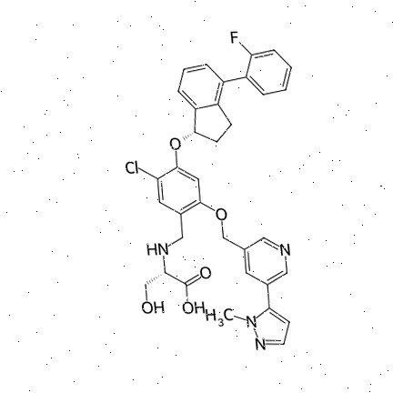 Cn1nccc1-c1cncc(COc2cc(O[C@H]3CCc4c(-c5ccccc5F)cccc43)c(Cl)cc2CN[C@@H](CO)C(=O)O)c1